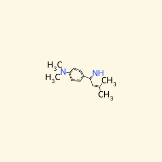 CC(C)=CC(=N)c1ccc(N(C)C)cc1